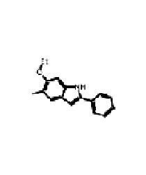 CCOc1cc2[nH]c(-c3ccccc3)cc2cc1C